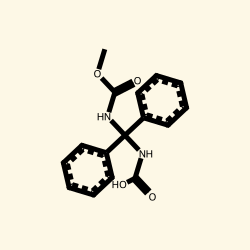 COC(=O)NC(NC(=O)O)(c1ccccc1)c1ccccc1